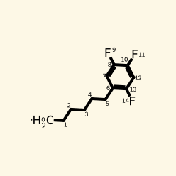 [CH2]CCCCCc1cc(F)c(F)cc1F